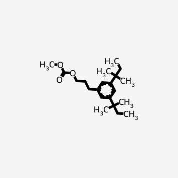 CCC(C)(C)c1cc(CCCOC(=O)OC)cc(C(C)(C)CC)c1